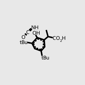 CC(C(=O)O)c1cc(C(C)(C)C)cc(C(C)(C)C)c1O.N=C=O